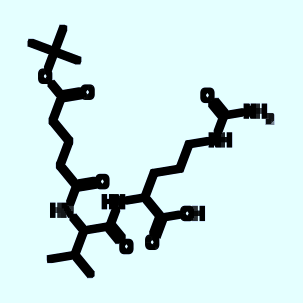 CC(C)C(NC(=O)CCCC(=O)OC(C)(C)C)C(=O)NC(CCCNC(N)=O)C(=O)O